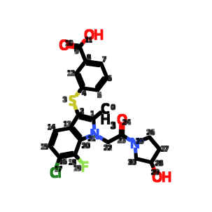 Cc1c(Sc2cccc(C(=O)O)c2)c2ccc(Cl)c(F)c2n1CC(=O)N1CCC(O)C1